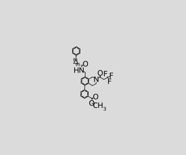 COC(=O)c1cccc(-c2ccc(CNC(=O)[C@@H]3C[C@H]3c3ccccc3)c3c2CCN(C(=O)CC(F)(F)F)C3)c1